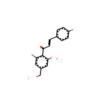 COc1cc(CO)cc(I)c1C(=O)/C=C/c1ccc(Br)cc1